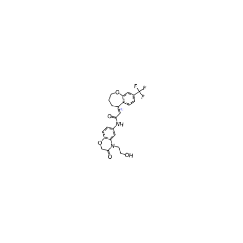 O=C(/C=C1\CCCOc2cc(C(F)(F)F)ccc21)Nc1ccc2c(c1)N(CCO)C(=O)CO2